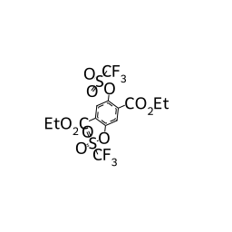 CCOC(=O)c1cc(OS(=O)(=O)C(F)(F)F)c(C(=O)OCC)cc1OS(=O)(=O)C(F)(F)F